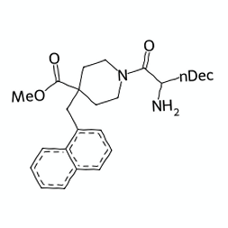 CCCCCCCCCCC(N)C(=O)N1CCC(Cc2cccc3ccccc23)(C(=O)OC)CC1